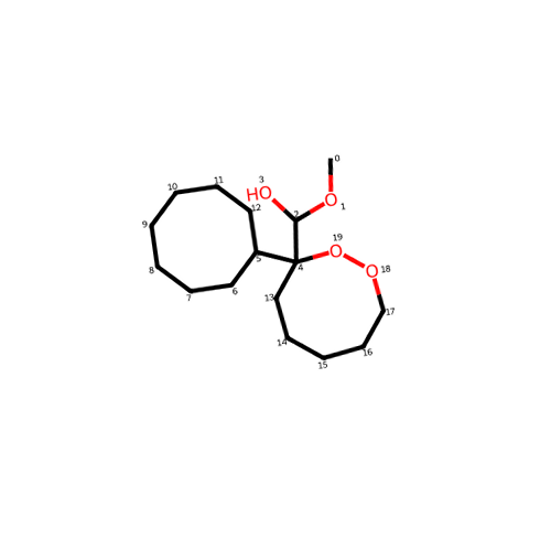 COC(O)C1(C2CCCCCCC2)CCCCCOO1